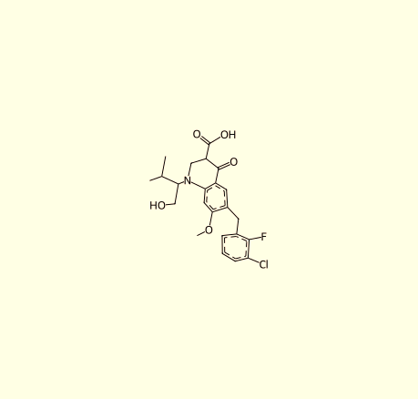 COc1cc2c(cc1Cc1cccc(Cl)c1F)C(=O)C(C(=O)O)CN2C(CO)C(C)C